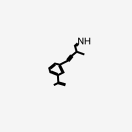 C=C(C)c1cccc(C#CC(C)C=N)c1